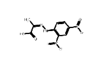 CC(=NNc1ccc([N+](=O)[O-])cc1[N+](=O)[O-])C(=O)O